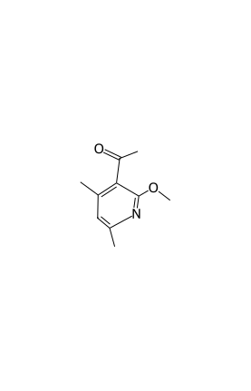 COc1nc(C)cc(C)c1C(C)=O